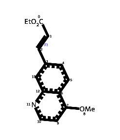 CCOC(=O)/C=C/c1ccc2c(OC)ccnc2c1